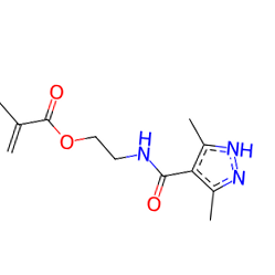 C=C(C)C(=O)OCCNC(=O)c1c(C)n[nH]c1C